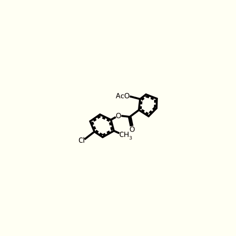 CC(=O)Oc1ccccc1C(=O)Oc1ccc(Cl)cc1C